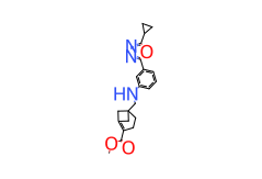 COC(=O)C1=C2CC(CNc3cccc(-c4nnc(C5CC5)o4)c3)(CC1)C2